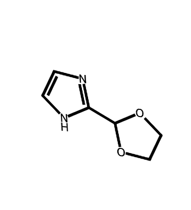 c1c[nH]c(C2OCCO2)n1